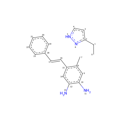 CCc1cc[nH]n1.Cc1cc(N)c(N)cc1C=Cc1ccccc1